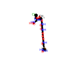 COc1ccc(OCCCNC(=O)CCCC(=O)NCCCOCCOCCOCCCNC(=O)CCCC[C@@H]2SC[C@@H]3NC(=O)N[C@@H]32)cc1C(=O)NC(CCCNC(=O)O)c1ncc(-c2cccc(Cl)c2)o1